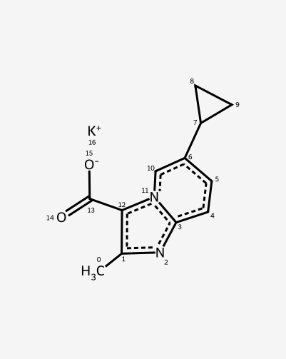 Cc1nc2ccc(C3CC3)cn2c1C(=O)[O-].[K+]